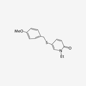 CCn1cc(SCc2ccc(OC)cc2)ccc1=O